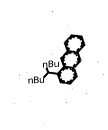 CCCCC(CCCC)c1cccc2cc3ccccc3cc12